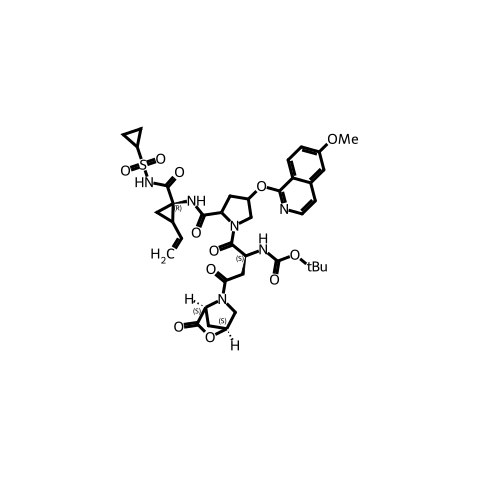 C=CC1C[C@]1(NC(=O)C1CC(Oc2nccc3cc(OC)ccc23)CN1C(=O)[C@H](CC(=O)N1C[C@@H]2C[C@H]1C(=O)O2)NC(=O)OC(C)(C)C)C(=O)NS(=O)(=O)C1CC1